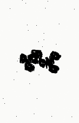 C1=CC(c2cc(-c3ccccc3)nc(C3=CCCC(C4=c5c(sc6cc(N(c7ccccc7)c7ccccc7)ccc56)=CCC4)=C3)n2)=CCC1